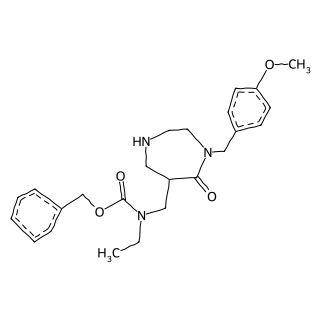 CCN(CC1CNCCN(Cc2ccc(OC)cc2)C1=O)C(=O)OCc1ccccc1